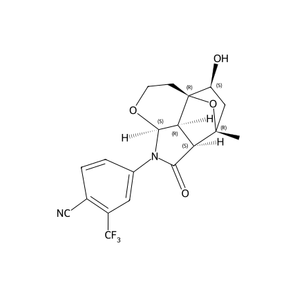 C[C@@]12C[C@H](O)[C@]3(CCO[C@H]4[C@@H]3[C@@H]1C(=O)N4c1ccc(C#N)c(C(F)(F)F)c1)O2